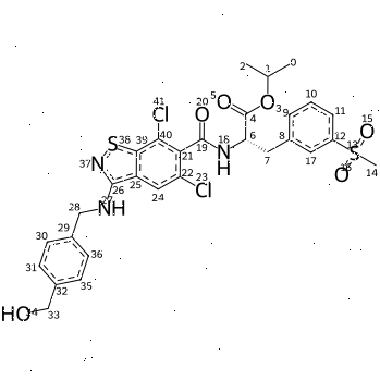 CC(C)OC(=O)[C@H](Cc1cccc(S(C)(=O)=O)c1)NC(=O)c1c(Cl)cc2c(NCc3ccc(CO)cc3)nsc2c1Cl